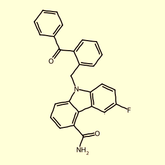 NC(=O)c1cccc2c1c1[c]c(F)ccc1n2Cc1ccccc1C(=O)c1ccccc1